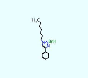 Br.CCCCCCCn1cc(-c2ccccc2)nn1